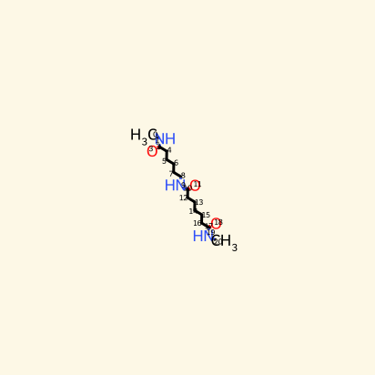 CNC(=O)CCCCCNC(=O)CCCCCC(=O)NC